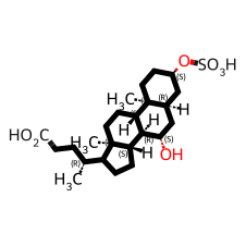 C[C@H](CCC(=O)O)C1CC[C@H]2[C@@H]3[C@@H](O)C[C@@H]4C[C@@H](OS(=O)(=O)O)CC[C@]4(C)[C@H]3CC[C@]12C